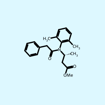 COC(=O)C[C@@H](C)N(C(=O)Cc1ccccc1)c1c(C)cccc1C